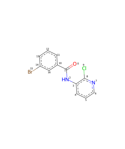 O=C(Nc1cccnc1Cl)c1cccc(Br)c1